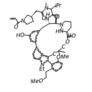 C=CC(=O)N1CC[C@H](CC(=O)N(C)C(C(=O)N[C@H]2Cc3cc(O)cc(c3)-c3ccc4c(c3)c(c(-c3c(CCOC)cccc3OC)n4CC)CC(C)(C)COC(=O)[C@@H]3CCCN(N3)C2=O)C(C)C)C1